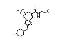 CCCNC(=O)C1=Cc2sc(CC3CCNCC3)cc2N=C(C)C1